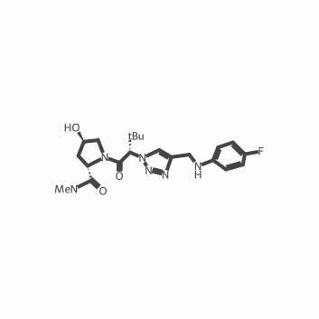 CNC(=O)[C@@H]1C[C@@H](O)CN1C(=O)[C@@H](n1cc(CNc2ccc(F)cc2)nn1)C(C)(C)C